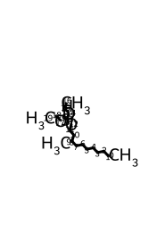 CCCCCCCCC(C)CCO[SiH](OCC)OCC